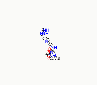 COC(=O)N[C@H](C(=O)N1CCC[C@H]1C(=O)Nc1ccc(-c2ccc3cc(-c4cnc([C@@H]5CCCN5)[nH]4)ccc3n2)cc1)C(C)C